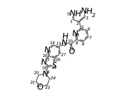 N=C/C(=C\N)c1cccc(C(=O)Nc2cnc3nc(N4CCOCC4)sc3c2)n1